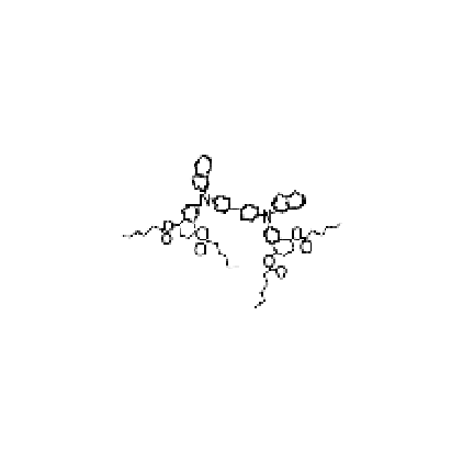 CCCCCC(=O)OC1CCC(OC(=O)CCCCC)c2cc(N(c3ccc(-c4ccc(N(c5ccc6c(c5)C(OC(=O)CCCCC)CCC6OC(=O)CCCCC)c5ccc6ccccc6c5)cc4)cc3)c3ccc4ccccc4c3)ccc21